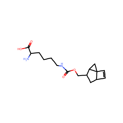 NC(CCCCNC(=O)OCC1CC2C=CC23CC13)C(=O)O